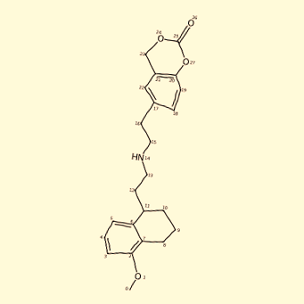 COc1cccc2c1CCCC2CCNCCc1ccc2c(c1)COC(=O)O2